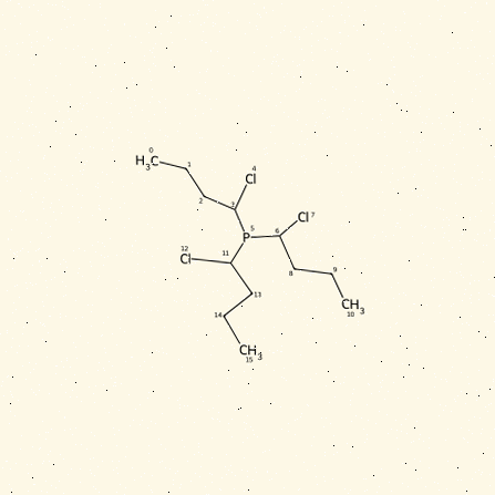 CCCC(Cl)P(C(Cl)CCC)C(Cl)CCC